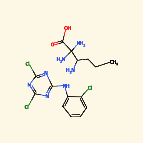 CCCC(N)C(N)(N)C(=O)O.Clc1nc(Cl)nc(Nc2ccccc2Cl)n1